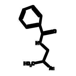 CC(=O)C(CNC(=O)c1ccccc1)C(=O)O